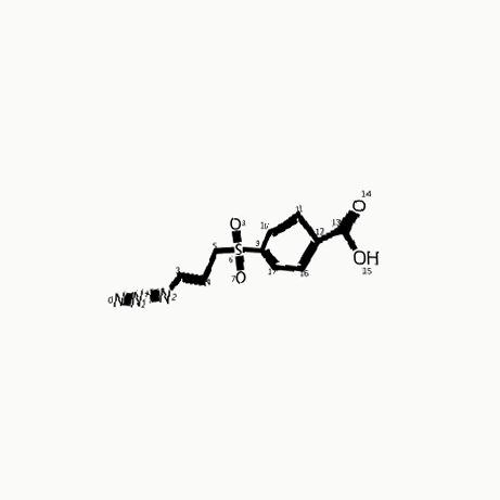 [N-]=[N+]=NC=CCS(=O)(=O)c1ccc(C(=O)O)cc1